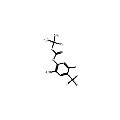 CC(C)(C)OC(=O)Nc1cc(F)c(C(F)(F)F)cc1N